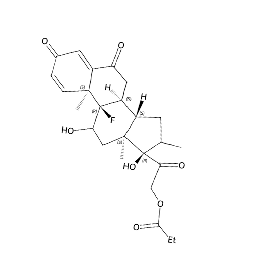 CCC(=O)OCC(=O)[C@@]1(O)C(C)C[C@H]2[C@@H]3CC(=O)C4=CC(=O)C=C[C@]4(C)[C@@]3(F)C(O)C[C@@]21C